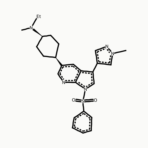 CCN(C)[C@H]1CC[C@@H](c2cnc3c(c2)c(-c2cnn(C)c2)cn3S(=O)(=O)c2ccccc2)CC1